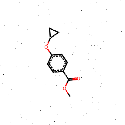 COC(=O)c1ccc(OC2CC2)cc1